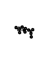 c1ccc(-c2ccc(N(c3ccccc3)c3ccc(-c4ccc(-c5cccc(-c6nc(-c7ccccc7)nc(-c7ccccc7)n6)c5)c5oc6ccccc6c45)cc3)cc2)cc1